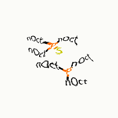 CCCCCCCCP(=S)(CCCCCCCC)CCCCCCCC.CCCCCCCCP(CCCCCCCC)CCCCCCCC